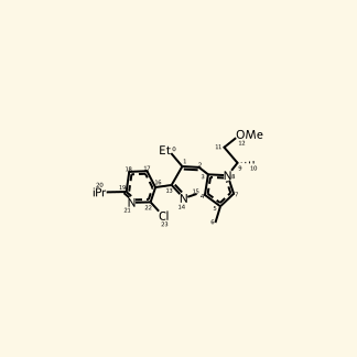 CCC(=C/c1cc(C)cn1[C@@H](C)COC)/C(=N\C)c1ccc(C(C)C)nc1Cl